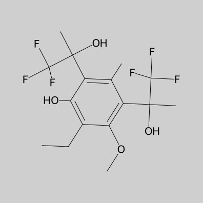 CCc1c(O)c(C(C)(O)C(F)(F)F)c(C)c(C(C)(O)C(F)(F)F)c1OC